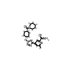 Cc1cc(-c2nnn(C[C@H]3CC[C@H](C(=O)N4CCCCC4)CC3)n2)cc(C(N)=O)n1